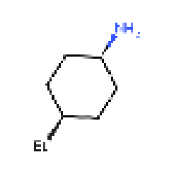 CC[C@H]1CC[C@@H](N)CC1